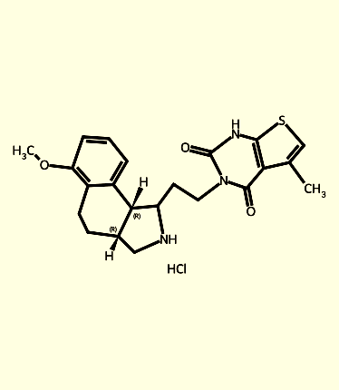 COc1cccc2c1CC[C@H]1CNC(CCn3c(=O)[nH]c4scc(C)c4c3=O)[C@@H]21.Cl